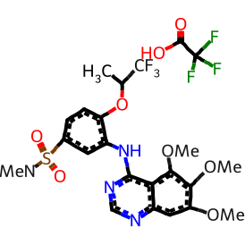 CNS(=O)(=O)c1ccc(OC(C)C(F)(F)F)c(Nc2ncnc3cc(OC)c(OC)c(OC)c23)c1.O=C(O)C(F)(F)F